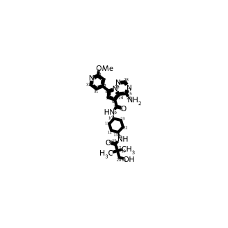 COc1cc(-c2cc(C(=O)N[C@H]3CC[C@H](NC(=O)C(C)(C)CO)CC3)c3c(N)ncnn23)ccn1